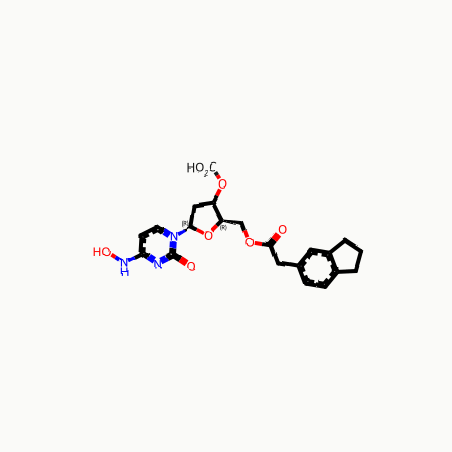 O=C(O)OC1C[C@H](n2ccc(NO)nc2=O)O[C@@H]1COC(=O)Cc1ccc2c(c1)CCC2